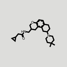 CC1(C)CCN(C2CCc3ccc4c(c3C2)CC(CNC(=O)CC2CC2)CO4)CC1